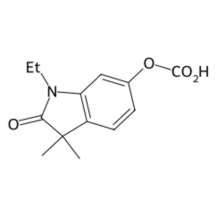 CCN1C(=O)C(C)(C)c2ccc(OC(=O)O)cc21